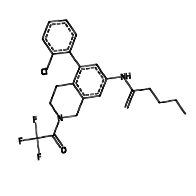 C=C(CCCC)Nc1cc2c(c(-c3ccccc3Cl)c1)CCN(C(=O)C(F)(F)F)C2